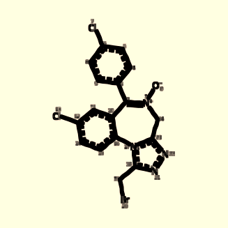 [O-][N+]1=C(c2ccc(Cl)cc2)c2cc(Cl)ccc2-n2c(CBr)nnc2C1